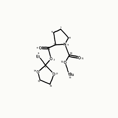 CCC1(OC(=O)C2CCCN2C(=O)OC(C)(C)C)OCCO1